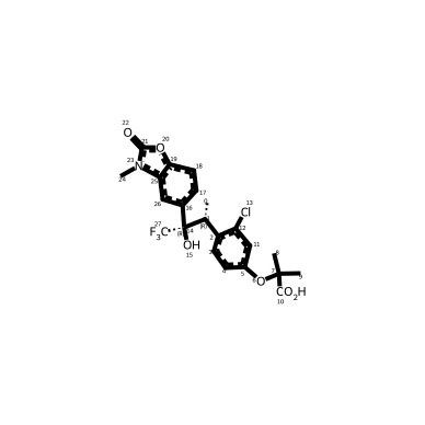 C[C@H](c1ccc(OC(C)(C)C(=O)O)cc1Cl)[C@@](O)(c1ccc2oc(=O)n(C)c2c1)C(F)(F)F